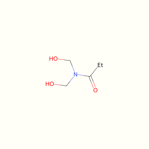 CCC(=O)N(CO)CO